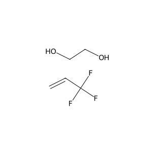 C=CC(F)(F)F.OCCO